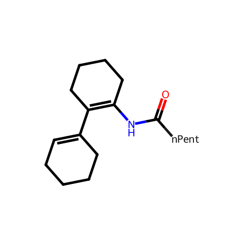 CCCCCC(=O)NC1=C(C2=CCCCC2)CCCC1